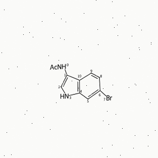 CC(=O)Nc1c[nH]c2cc(Br)ccc12